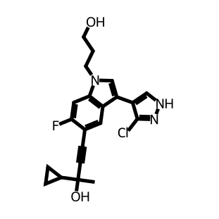 CC(O)(C#Cc1cc2c(-c3c[nH]nc3Cl)cn(CCCO)c2cc1F)C1CC1